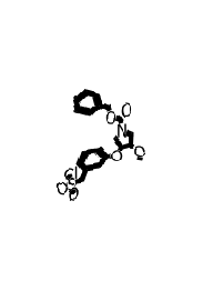 COC1CN(C(=O)OCc2ccccc2)CC1Oc1cccc(CS(=O)(=O)Cl)c1